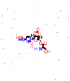 N[C@@H](CO)C(=O)OC[C@H]1O[C@@H](N2C=CC(NO)=NC2O)[C@@H]2OC(=O)O[C@@H]21